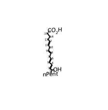 CCCCCC(O)/C=C/C=C/C/C=C/C/C=C/CCCC(=O)O